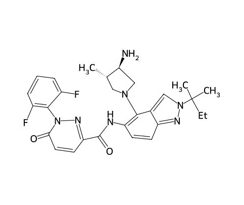 CCC(C)(C)n1cc2c(N3C[C@H](C)[C@@H](N)C3)c(NC(=O)c3ccc(=O)n(-c4c(F)cccc4F)n3)ccc2n1